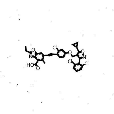 CCc1nc2c(C(=O)O)c(C)c(C#Cc3ccc(OCc4c(-c5c(Cl)cccc5Cl)noc4C4CC4)cc3Cl)cc2o1